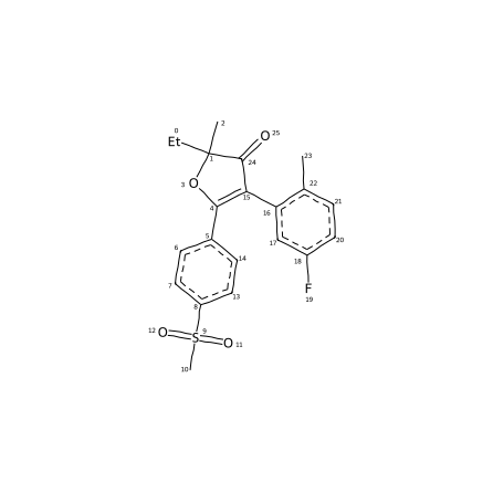 CCC1(C)OC(c2ccc(S(C)(=O)=O)cc2)=C(c2cc(F)ccc2C)C1=O